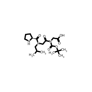 CC(C)CN(CC(=O)N(CC(=O)O)C(=O)OC(C)(C)C)C(=O)[C@@H]1CCCN1